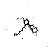 CCSCCCOc1cc(OC)ccc1-c1cn2c(n1)CNCC2